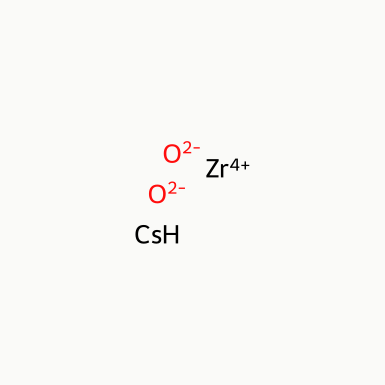 [CsH].[O-2].[O-2].[Zr+4]